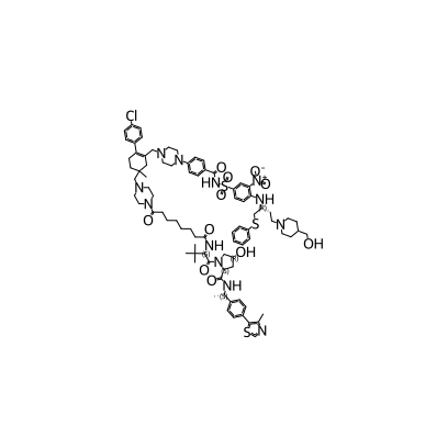 Cc1ncsc1-c1ccc([C@H](C)NC(=O)[C@@H]2C[C@@H](O)CN2C(=O)[C@@H](NC(=O)CCCCCCC(=O)N2CCN(CC3(C)CCC(c4ccc(Cl)cc4)=C(CN4CCN(c5ccc(C(=O)NS(=O)(=O)c6ccc(N[C@H](CCN7CCC(CO)CC7)CSc7ccccc7)c([N+](=O)[O-])c6)cc5)CC4)C3)CC2)C(C)(C)C)cc1